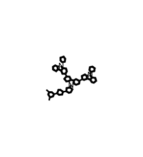 Cc1cc(C)cc(-c2ccc(-c3cccc(-n4c5ccc(-c6ccc7c(c6)c6ccccc6n7-c6ccccc6)cc5c5cc(-c6ccc7c(c6)c6ccccc6n7-c6ccccc6)ccc54)c3)cc2)c1